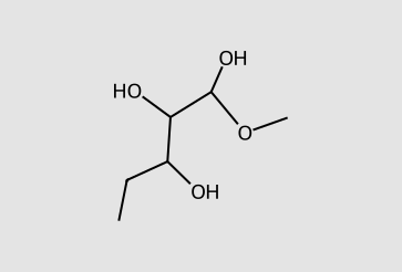 CCC(O)C(O)C(O)OC